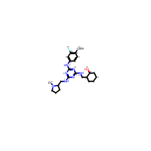 CCN1CCCC1CNc1nc(NCC2CCCCC2O)nc(Nc2ccc(OC)c(F)c2)n1